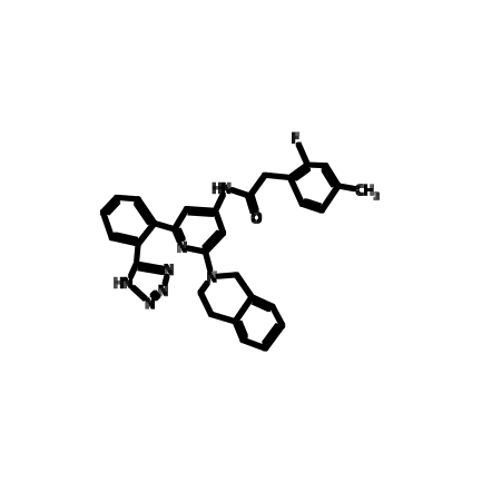 Cc1ccc(CC(=O)Nc2cc(-c3ccccc3-c3nnn[nH]3)nc(N3CCc4ccccc4C3)c2)c(F)c1